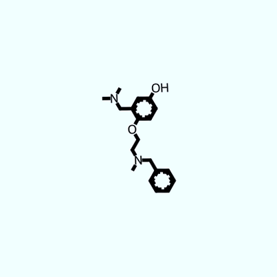 CN(C)Cc1cc(O)ccc1OCCN(C)Cc1ccccc1